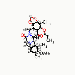 C=CCOc1c(C)c2c(c3c1C(=O)[C@@H]1C4c5c(cc(C)c(OC)c5C)CC(C(=O)N1[C@H]3CC)N4C)OCO2